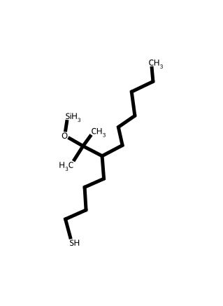 CCCCCCC(CCCCS)C(C)(C)O[SiH3]